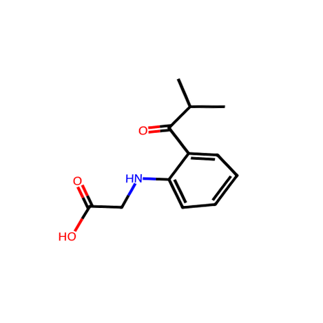 CC(C)C(=O)c1ccccc1NCC(=O)O